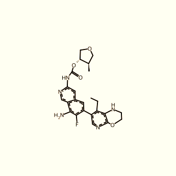 CCc1c(-c2cc3cc(NC(=O)O[C@@H]4COC[C@H]4C)ncc3c(N)c2F)cnc2c1NCCO2